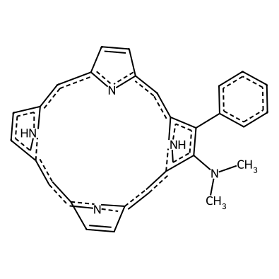 CN(C)c1c(-c2ccccc2)c2cc3nc(cc4ccc(cc5nc(cc1[nH]2)C=C5)[nH]4)C=C3